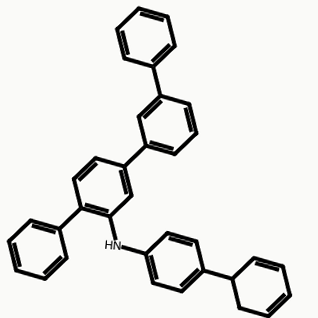 C1=CCC(c2ccc(Nc3cc(-c4cccc(-c5ccccc5)c4)ccc3-c3ccccc3)cc2)C=C1